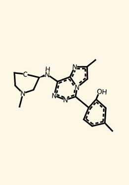 Cc1ccc(-c2nnc(N[C@@H]3CCCN(C)C3)c3nc(C)cn23)c(O)c1